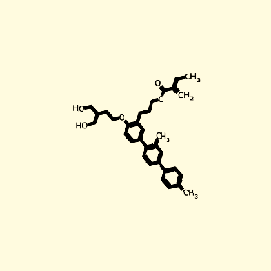 C=C(CC)C(=O)OCCCc1cc(-c2ccc(-c3ccc(C)cc3)cc2C)ccc1OCCC(CO)CO